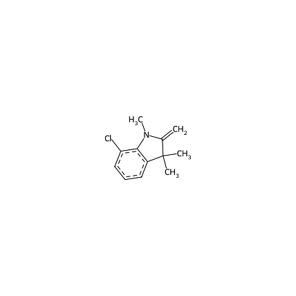 C=C1N(C)c2c(Cl)cccc2C1(C)C